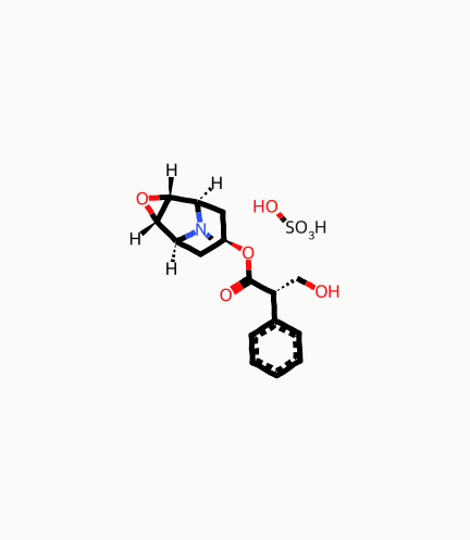 CN1[C@@H]2C[C@@H](OC(=O)[C@H](CO)c3ccccc3)C[C@H]1[C@@H]1O[C@@H]12.O=S(=O)(O)O